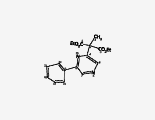 CCOC(=O)C(C)(C(=O)OCC)c1cncc(-c2ccccc2)n1